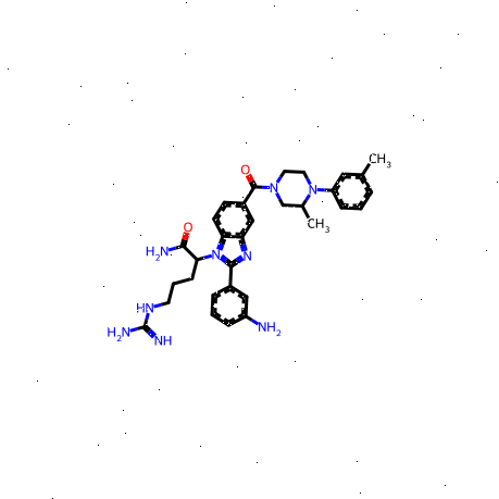 Cc1cccc(N2CCN(C(=O)c3ccc4c(c3)nc(-c3cccc(N)c3)n4C(CCCNC(=N)N)C(N)=O)CC2C)c1